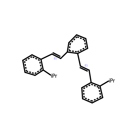 CC(C)c1ccccc1/C=C/c1ccccc1/C=C/c1ccccc1C(C)C